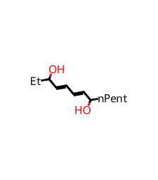 CCCCCC(O)C=CC=CC(O)CC